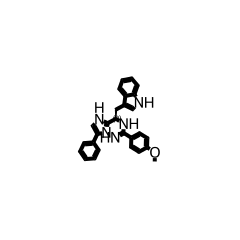 COc1ccc(C(=N)N[C@H](Cc2c[nH]c3ccccc23)c2nc(-c3ccccc3)c[nH]2)cc1